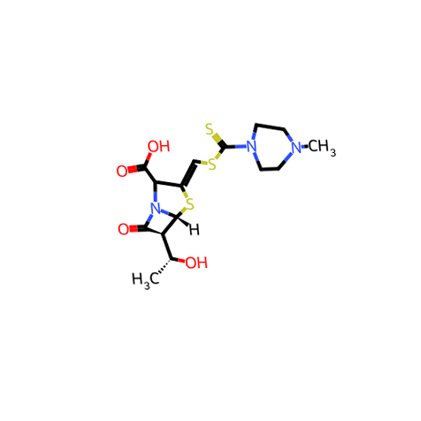 C[C@@H](O)[C@H]1C(=O)N2C(C(=O)O)C(=CSC(=S)N3CCN(C)CC3)S[C@H]12